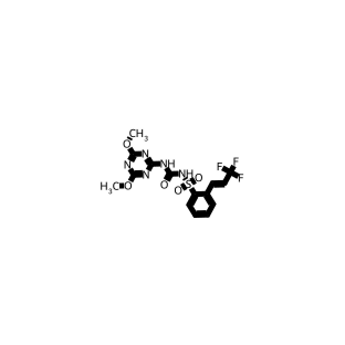 COc1nc(NC(=O)NS(=O)(=O)c2ccccc2/C=C/C(F)(F)F)nc(OC)n1